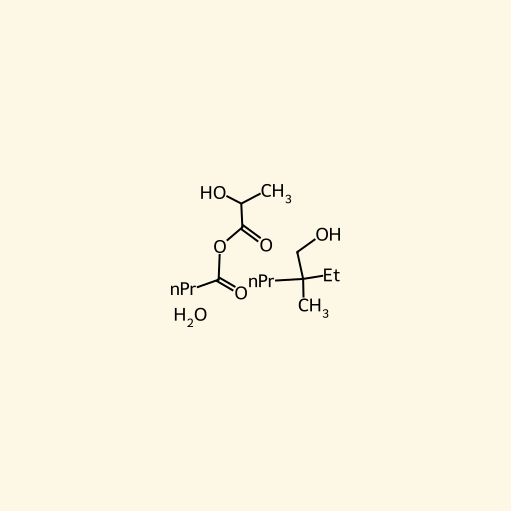 CCCC(=O)OC(=O)C(C)O.CCCC(C)(CC)CO.O